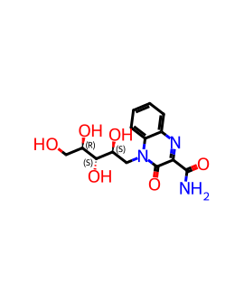 NC(=O)c1nc2ccccc2n(C[C@H](O)[C@H](O)[C@H](O)CO)c1=O